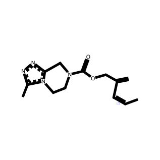 C=C(/C=C\C)COC(=O)N1CCn2c(C)nnc2C1